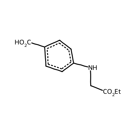 CCOC(=O)CNc1ccc(C(=O)O)cc1